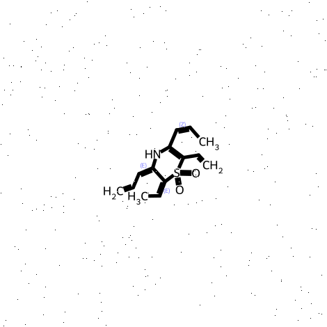 C=C/C=C1/NC(/C=C\C)=C(C=C)S(=O)(=O)/C1=C/C